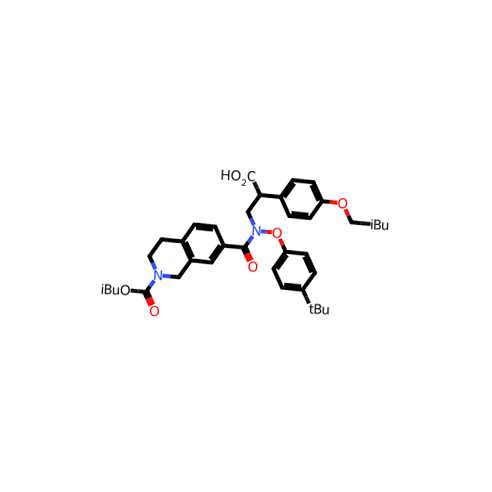 CCC(C)COc1ccc(C(CN(Oc2ccc(C(C)(C)C)cc2)C(=O)c2ccc3c(c2)CN(C(=O)OCC(C)C)CC3)C(=O)O)cc1